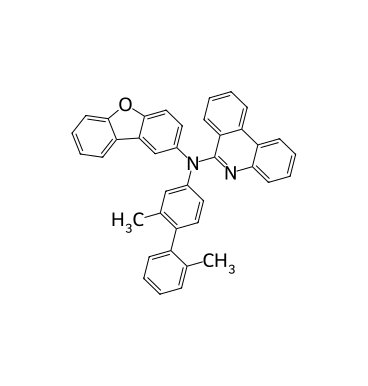 Cc1ccccc1-c1ccc(N(c2ccc3oc4ccccc4c3c2)c2nc3ccccc3c3ccccc23)cc1C